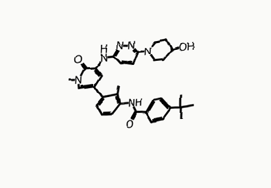 Cc1c(NC(=O)c2ccc(C(C)(C)C)cc2)cccc1-c1cc(Nc2ccc(N3CCC(O)CC3)nn2)c(=O)n(C)c1